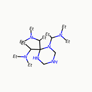 CCC(N(CC)CC)N1CNCNC1(C(CC)N(CC)CC)C(CC)N(CC)CC